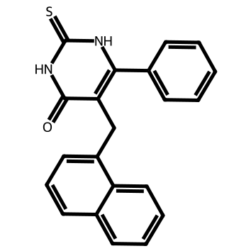 O=c1[nH]c(=S)[nH]c(-c2ccccc2)c1Cc1cccc2ccccc12